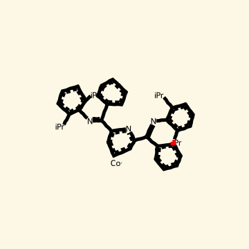 CC(C)c1cccc(C(C)C)c1N=C(c1ccccc1)c1cccc(C(=Nc2c(C(C)C)cccc2C(C)C)c2ccccc2)n1.[Co]